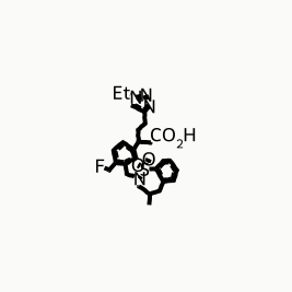 CCn1cc(CCC(CC(=O)O)c2ccc(CF)c(CN3CC(C)Cc4ccccc4S3(=O)=O)c2)nn1